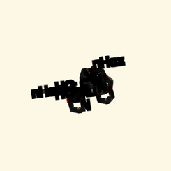 CCCCCCc1cc[c]([Ru]([C](=O)O)([C](=O)O)([c]2ccccn2)([c]2ccccn2)([c]2ccccn2)([c]2ccccn2)[c]2ccc(CCCCCC)s2)s1